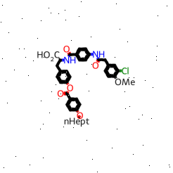 CCCCCCCOc1ccc(C(=O)Oc2ccc(C[C@H](NC(=O)c3ccc(NC(=O)Cc4ccc(OC)c(Cl)c4)cc3)C(=O)O)cc2)cc1